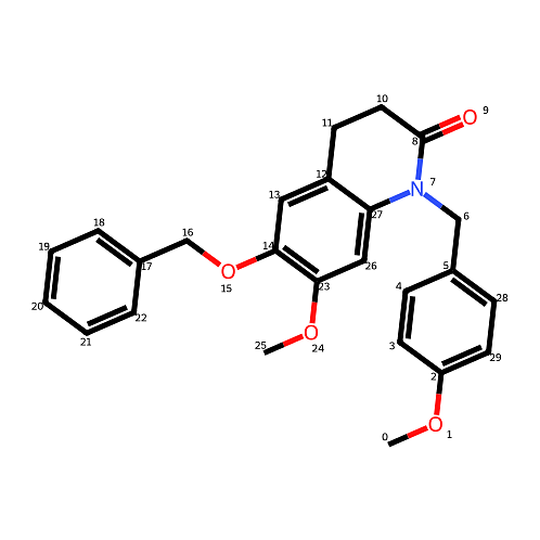 COc1ccc(CN2C(=O)CCc3cc(OCc4ccccc4)c(OC)cc32)cc1